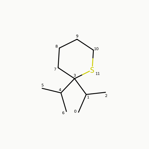 CC(C)C1(C(C)C)CCCCS1